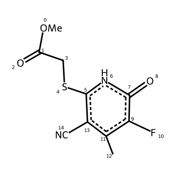 COC(=O)CSc1[nH]c(=O)c(F)c(C)c1C#N